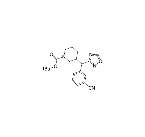 CC(C)(C)OC(=O)N1CCCC(C(c2cccc(C#N)c2)c2ncon2)C1